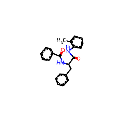 Cc1ccccc1NC(=O)C(Cc1ccccc1)NC(=O)c1ccccc1